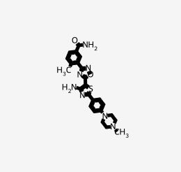 Cc1ccc(C(N)=O)cc1-c1noc(-c2sc(-c3ccc(N4CCN(C)CC4)cc3)nc2N)n1